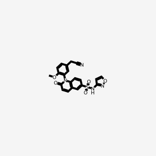 COc1ccc(CC#N)cc1-n1c(=O)ccc2cc(S(=O)(=O)Nc3ccon3)ccc21